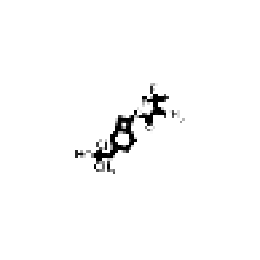 C=C(C(=O)OC1CC2CC(CC(C)(C)O)CCC21)C(F)(F)F